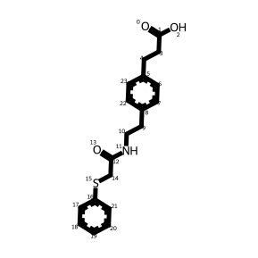 O=C(O)CCc1ccc(CCNC(=O)CSc2ccccc2)cc1